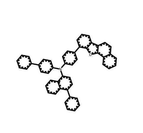 c1ccc(-c2ccc(N(c3ccc(-c4cccc5c4oc4c6ccccc6ccc54)cc3)c3ccc(-c4ccccc4)c4ccccc34)cc2)cc1